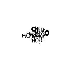 CC(C)C(C)(O)COc1cc(C(=O)N[C@@H](CC(=O)O)c2ccccc2C(F)(F)F)nn1-c1ccccc1F